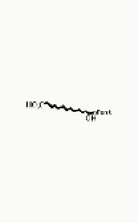 CCCCCC(O)CCCCCCCCCCCC(=O)O